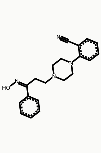 N#Cc1ccccc1N1CCN(CC/C(=N/O)c2ccccc2)CC1